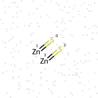 [S]=[Zn].[S]=[Zn]